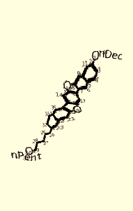 CCCCCCCCCCOc1ccc2cc3c(cc2c1)oc1cc2c(cc13)oc1cc3cc(CCCCCOCCCCC)ccc3cc12